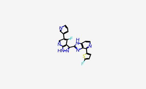 Fc1ccc(-c2nccc3[nH]c(-c4n[nH]c5ncc(-c6cccnc6)c(F)c45)nc23)s1